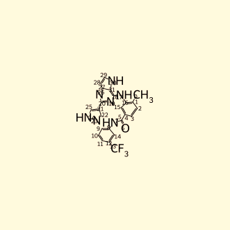 Cc1ccc(C(=O)Nc2cccc(C(F)(F)F)c2)cc1Nc1nc(-c2cn[nH]c2)nc2cc[nH]c12